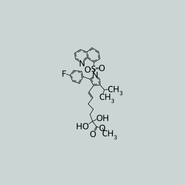 COC(=O)C(O)(O)CCC/C=C/c1c(C(C)C)cn(S(=O)(=O)c2cccc3cccnc23)c1-c1ccc(F)cc1